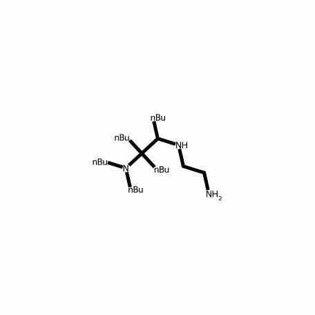 CCCCC(NCCN)C(CCCC)(CCCC)N(CCCC)CCCC